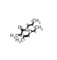 CC=COCC.CCCOC(=O)CC